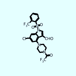 O=Cc1cn(S(=O)(=O)c2ccccc2C(F)(F)F)c2cc(Cl)cc(N3CCN(C(=O)C(F)(F)F)CC3)c12